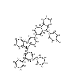 Cc1ccc(-n2c3ccccc3c3ccc(-c4ccc5c(c4)c4ccccc4n5-c4nc(-c5ccccc5)nc(-c5ccccc5)n4)cc32)cc1